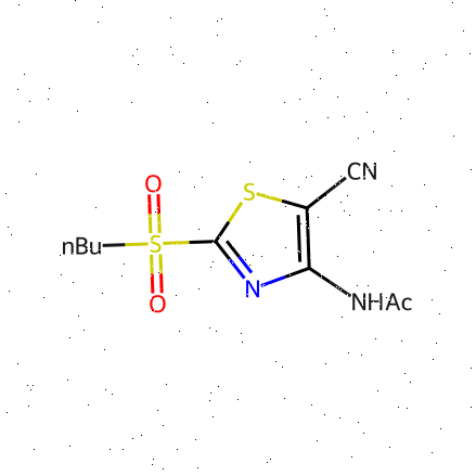 CCCCS(=O)(=O)c1nc(NC(C)=O)c(C#N)s1